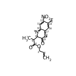 C=CCOC(=O)C(C)C1N=c2cc([N+](=O)[O-])c(F)cc2=NC1=O